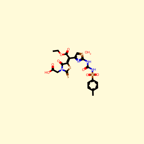 CCOC(=O)C(=C1SC(=S)N(CC(=O)O)C1=O)c1csc(NC(=O)NS(=O)(=O)c2ccc(C)cc2)n1.O